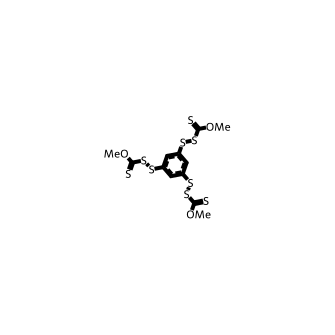 COC(=S)SSc1cc(SSC(=S)OC)cc(SSC(=S)OC)c1